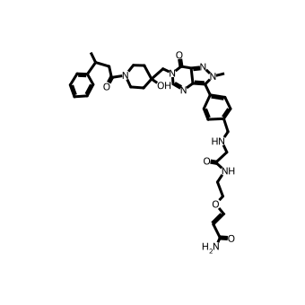 CC(CC(=O)N1CCC(O)(Cn2cnc3c(-c4ccc(CNCC(=O)NCCOC=CC(N)=O)cc4)n(C)nc3c2=O)CC1)c1ccccc1